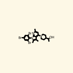 Cc1cc(N2CCC(C(C)O)CC2)c2c(C)c(C)n(-c3c(Br)cc(Br)cc3Br)c2n1